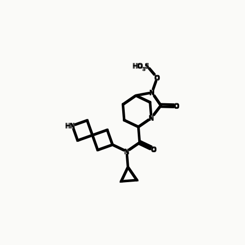 O=C1N2CC(CCC2C(=O)N(C2CC2)C2CC3(CNC3)C2)N1OS(=O)(=O)O